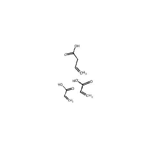 C=CC(=O)O.C=CC(=O)O.C=CCC(=O)O